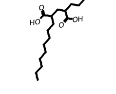 CCCCCCCCCC(CC(CCC)C(=O)O)C(=O)O